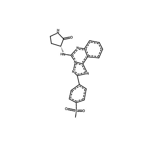 CS(=O)(=O)c1ccc(-c2nc3c4ccccc4nc(N[C@@H]4CCNC4=O)n3n2)cc1